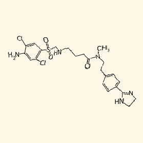 CN(CCc1ccc(C2=NCCN2)cc1)C(=O)CCCNCS(=O)(=O)c1cc(Cl)c(N)cc1Cl